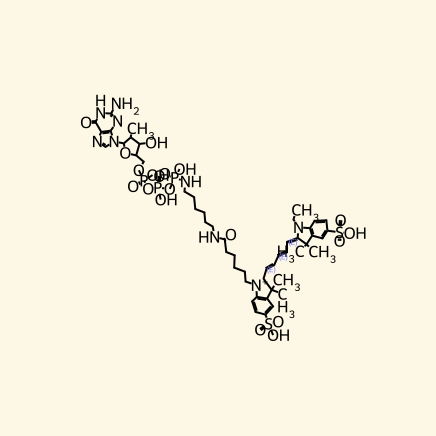 CCN1/C(=C/C=C/C=C/C2=[N+](CCCCCC(=O)NCCCCCCNP(=O)(O)OP(=O)(O)OP(=O)(O)OCC3OC(n4cnc5c(=O)[nH]c(N)nc54)C(C)C3O)c3ccc(S(=O)(=O)O)cc3C2(C)C)C(C)(C)c2cc(S(=O)(=O)O)ccc21